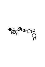 O=C(C1CCC(F)(F)CC1)N1CCC(N2C[C](n3cc(-c4c(F)cnc5[nH]ccc45)cn3)C2)CC1